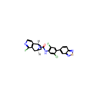 O=C(Nc1cc(Cl)c(-c2ccc3nsnc3c2)cc1F)N1[C@H]2CC[C@@H]1c1ccnc(F)c1C2